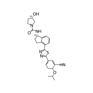 CC(C)OC1CC=C(c2nnc(-c3cccc4c3CC[C@@H]4NC(=O)N3CC[C@H](O)C3)s2)C=C1C#N